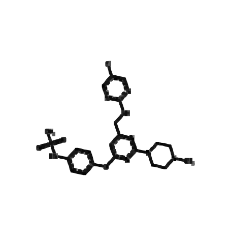 CN1CCN(c2nc(CNc3ncc(Cl)cn3)cc(Oc3ccc(NS(C)(=O)=O)cc3)n2)CC1